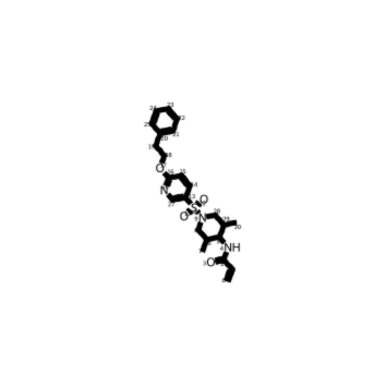 C=CC(=O)NC1C(C)CN(S(=O)(=O)c2ccc(OCCc3ccccc3)nc2)CC1C